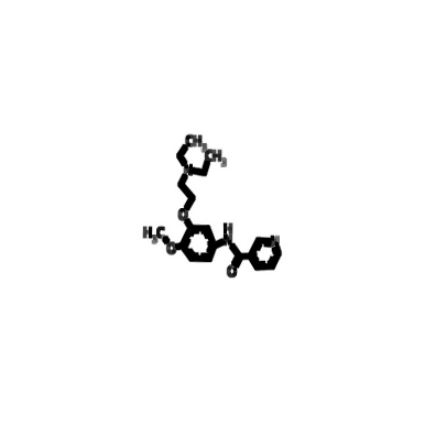 CCN(CC)CCOc1cc(NC(=O)c2cccnc2)ccc1OC